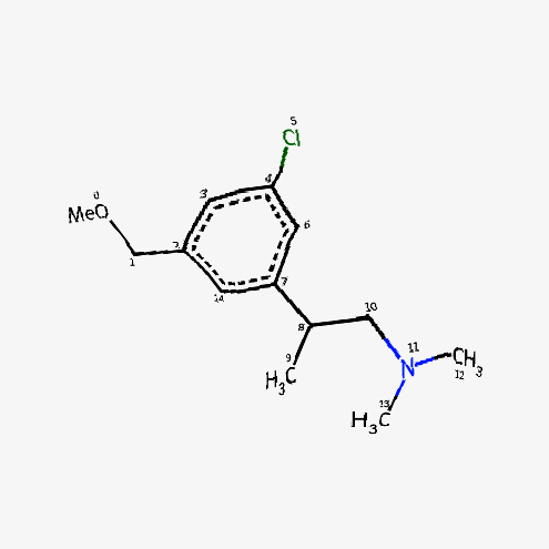 COCc1cc(Cl)cc(C(C)CN(C)C)c1